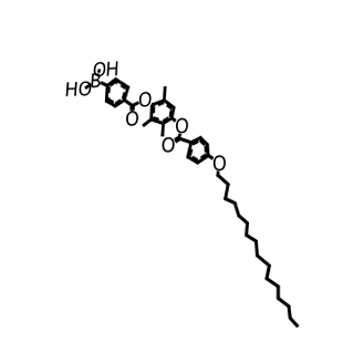 CCCCCCCCCCCCCCCCOc1ccc(C(=O)Oc2cc(C)c(OC(=O)c3ccc(B(O)O)cc3)c(C)c2C)cc1